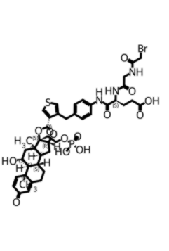 C[C@]12C=CC(=O)C=C1CC[C@@H]1[C@@H]2[C@@H](O)C[C@@]2(C)[C@H]1C[C@H]1O[C@@H](c3cscc3Cc3ccc(NC(=O)[C@H](CCC(=O)O)NC(=O)CNC(=O)CBr)cc3)O[C@]12C(=O)COP(=O)(O)O